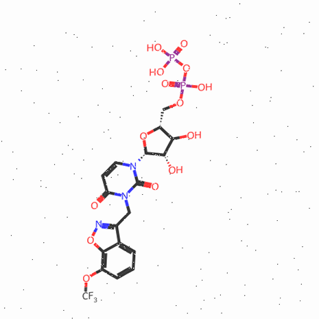 O=c1ccn([C@@H]2O[C@H](COP(=O)(O)OP(=O)(O)O)C(O)[C@@H]2O)c(=O)n1Cc1noc2c(OC(F)(F)F)cccc12